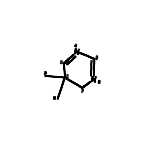 CC1(C)C=N[C]=NC1